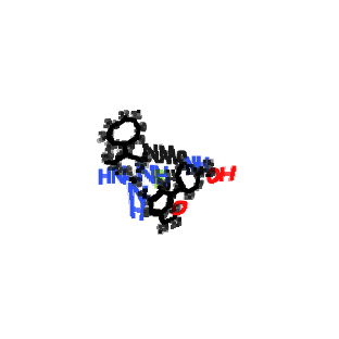 CNC1NC(Nc2cc3c(c(C4=CCN[C@H](CO)CC4)c2F)OCC3)NC(C)C1C1CCCCCCC1